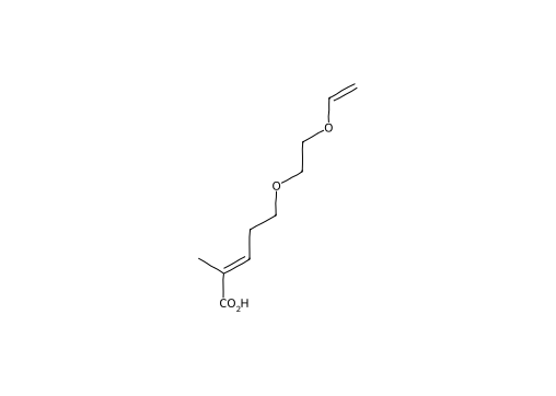 C=COCCOCC/C=C(\C)C(=O)O